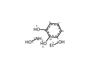 CCO.NO.Oc1ccccc1O